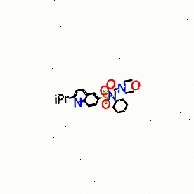 CC(C)c1ccc2cc(S(=O)(=O)N(C(=O)N3CCOCC3)C3CCCCC3)ccc2n1